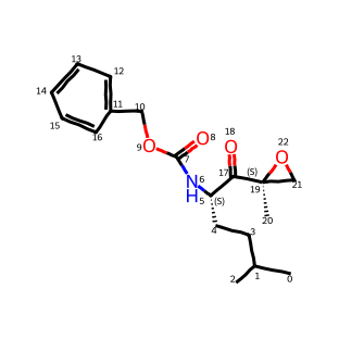 CC(C)CC[C@H](NC(=O)OCc1ccccc1)C(=O)[C@]1(C)CO1